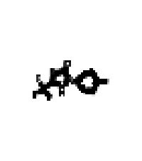 Cc1ccc(-n2[nH]c(C(F)(F)F)nc2=O)cc1